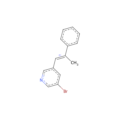 C/C(=C\c1cncc(Br)c1)c1ccccc1